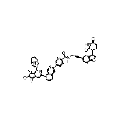 CN1C2CCC1CN(c1nc(-c3cccc4cc(-c5ccc(C(=O)NCC#Cc6ccc7occ(C8CCC(=O)NC8=O)c7c6)nc5)ncc34)cc3c1n(C)c(=O)n3C)C2